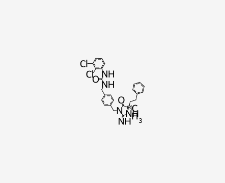 C[C@]1(CCc2ccccc2)NC(=N)N(Cc2ccc(CNC(=O)Nc3cccc(Cl)c3Cl)cc2)C1=O